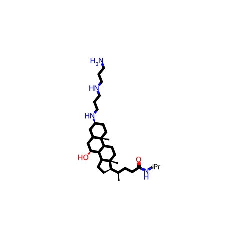 CC(C)NC(=O)CC[C@@H](C)[C@H]1CCC2C3C(CC[C@@]21C)[C@@]1(C)CC[C@H](NCCCNCCCN)CC1C[C@@H]3O